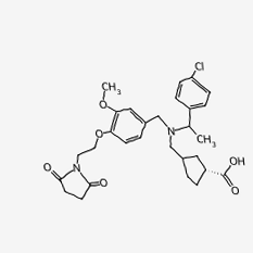 COc1cc(CN(CC2CC[C@@H](C(=O)O)C2)C(C)c2ccc(Cl)cc2)ccc1OCCN1C(=O)CCC1=O